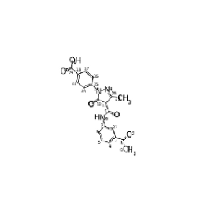 CC(=O)c1cccc(NC(=O)C2C(=O)N(c3ccc(C(=O)O)cc3)N=C2C)c1